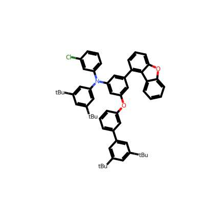 CC(C)(C)c1cc(-c2cccc(Oc3cc(-c4cccc5oc6ccccc6c45)cc(N(c4cccc(Cl)c4)c4cc(C(C)(C)C)cc(C(C)(C)C)c4)c3)c2)cc(C(C)(C)C)c1